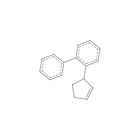 C1=CC(c2ccccc2-c2ccccc2)CC1